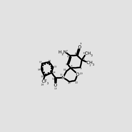 CC1(C)CC2(C=C(N)C1=O)CN(C(=O)c1ccccc1C(F)(F)F)CCO2